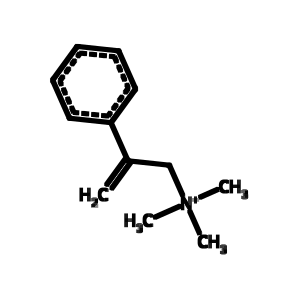 C=C(C[N+](C)(C)C)c1ccccc1